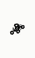 O=P(Oc1ccccc1)(Oc1ccccc1)c1ccccc1C1=N[C@@H](c2ccccc2)CO1